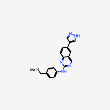 CNCc1ccc(Nc2ncc3cc(-c4cn[nH]c4)ccc3n2)cc1